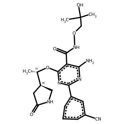 C[C@H](Oc1nc(-c2cccc(C#N)c2)nc(N)c1C(=O)NOCC(C)(C)O)[C@H]1CNC(=O)C1